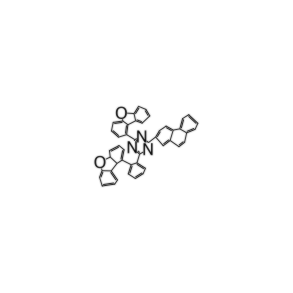 C1=CC2Oc3ccccc3C2C(c2ccccc2-c2nc(-c3ccc4c(ccc5ccccc54)c3)nc(-c3cccc4oc5ccccc5c34)n2)=C1